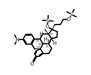 CN(C)c1ccc2c(c1)C[C@]13C=CC(=O)C=C1CC[C@@H]1[C@@H]3[C@@H]2C[C@@]2(C)[C@@H]1CC[C@@]2(CCCO[Si](C)(C)C)O[Si](C)(C)C